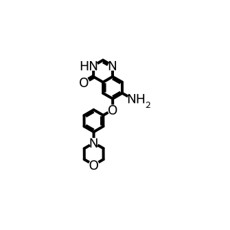 Nc1cc2nc[nH]c(=O)c2cc1Oc1cccc(N2CCOCC2)c1